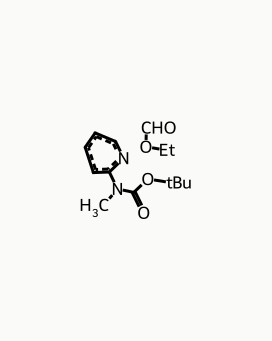 CCOC=O.CN(C(=O)OC(C)(C)C)c1ccccn1